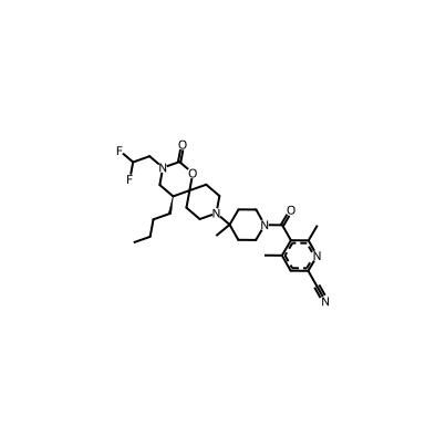 CCCC[C@H]1CN(CC(F)F)C(=O)OC12CCN(C1(C)CCN(C(=O)c3c(C)cc(C#N)nc3C)CC1)CC2